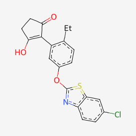 CCc1ccc(Oc2nc3ccc(Cl)cc3s2)cc1C1=C(O)CCC1=O